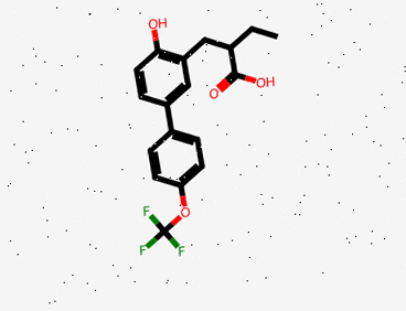 CCC(Cc1cc(-c2ccc(OC(F)(F)F)cc2)ccc1O)C(=O)O